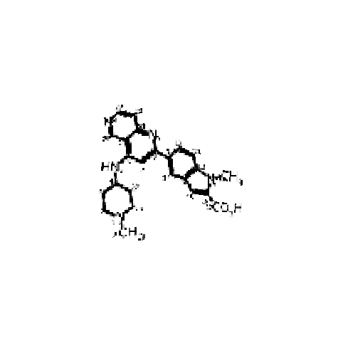 CN1CCC(Nc2cc(-c3ccc4c(c3)cc(C(=O)O)n4C)nc3ccncc23)CC1